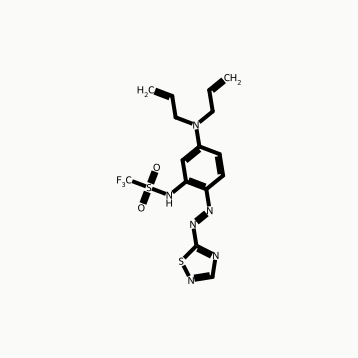 C=CCN(CC=C)c1ccc(N=Nc2ncns2)c(NS(=O)(=O)C(F)(F)F)c1